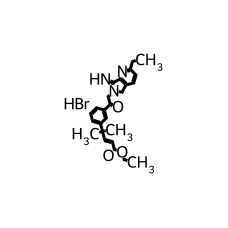 Br.CCOC(=O)/C=C/C(C)(C)c1cccc(C(=O)CN2Cc3ccc(CC)nc3C2=N)c1